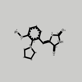 CC(C)Oc1cccc(/C=C2\SC(=O)NC2=O)c1N1CCCC1